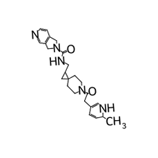 CC1C=CC(CC(=O)N2CCC3(CC2)CC3CNC(=O)N2Cc3ccncc3C2)=CN1